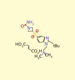 CN(C)CCn1c(CC(C)(C)C)nc2cc(S(=O)(=O)C3CN(C(N)=O)C3)ccc21.O=C(O)C=CC(=O)O